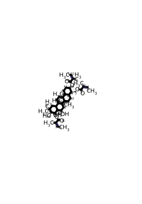 C/C=C(/C)C(=O)OC[C@@H]1C2CC[C@]3(C)C(CC=C4C5CC(C)(C)[C@@H](O)[C@H](O)[C@]5(COC(=O)/C(C)=C\C)[C@H](O)C[C@]43C)[C@@]2(C)CC[C@@H]1OC(=O)/C(C)=C\C